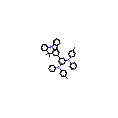 Cc1ccc(N(c2ccccc2)c2cc(-c3cc4c5c(c3)c3ccccc3n5-c3ccccc3C4(C)C)cc(N(c3ccccc3)c3ccc(C)cc3)c2)cc1